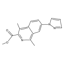 COC(=O)c1nc(C)c2cc(-n3cccn3)ccc2c1C